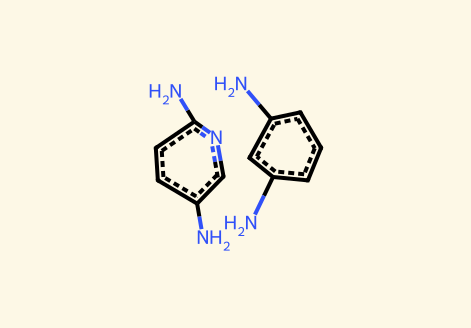 Nc1ccc(N)nc1.Nc1cccc(N)c1